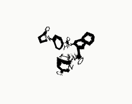 O=C(Nc1ccc(Cl)cn1)c1cc2ccccc2cc1NC(=O)[C@H]1CC[C@H](N2CCCC2=O)CC1